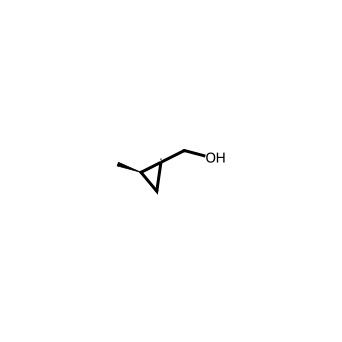 C[C@@H]1C[C]1CO